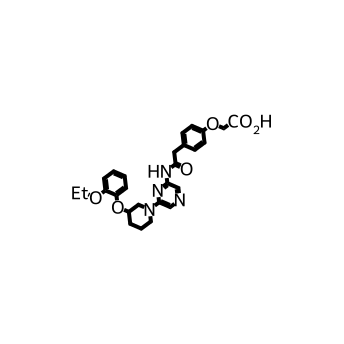 CCOc1ccccc1OC1CCCN(c2cncc(NC(=O)Cc3ccc(OCC(=O)O)cc3)n2)C1